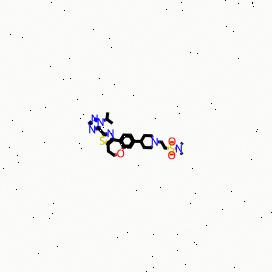 CC(C)n1ncnc1-c1nc2c(s1)CCOc1cc(C3CCN(CCS(=O)(=O)N(C)C)CC3)ccc1-2